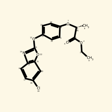 CCOC(=O)[C@@H](C)Oc1ccc(Oc2nc3ccc(Cl)cc3o2)cc1